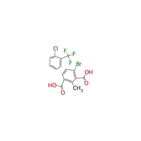 Cc1c(C(=O)O)ccc(Br)c1C(=O)O.FC(F)(F)c1ccccc1Cl